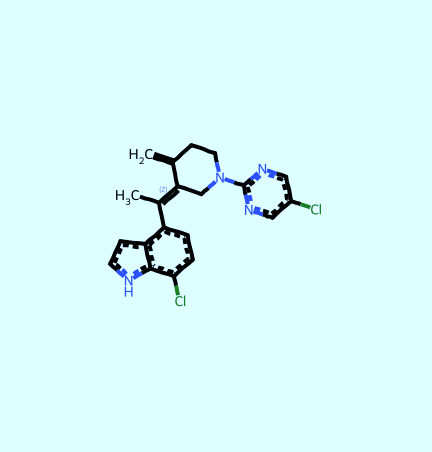 C=C1CCN(c2ncc(Cl)cn2)C/C1=C(/C)c1ccc(Cl)c2[nH]ccc12